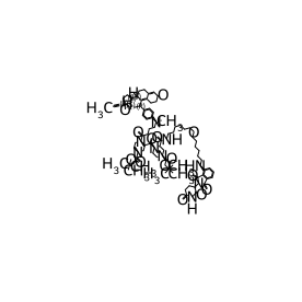 CC#C[C@]12CC[C@H]3[C@@H]4CCC5=CC(=O)CCC5=C4[C@@H](c4ccc(N(C)CCCC(=O)N5CCN(C(=O)OC(C)(C)C)CC5C(=O)N5CCN(C(=O)OC(C)(C)C)CC5C(=O)NCCCCCCOCCCCCCNc5cccc6c5C(=O)N(C5CCC(=O)NC5=O)C6=O)cc4)C[C@@]31CO2